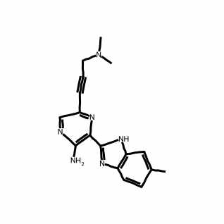 Cc1ccc2nc(-c3nc(C#CCN(C)C)cnc3N)[nH]c2c1